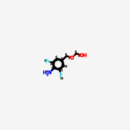 Nc1c(F)cc(COCO)cc1F